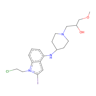 COCC(O)CN1CCC(Nc2cccc3c2cc(I)n3CCCl)CC1